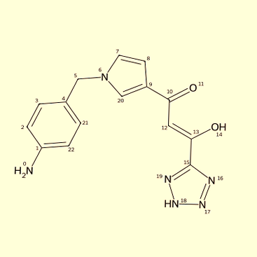 Nc1ccc(Cn2ccc(C(=O)C=C(O)c3nn[nH]n3)c2)cc1